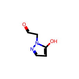 O=CCn1nccc1O